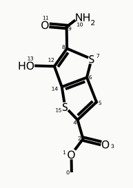 COC(=O)c1cc2sc(C(N)=O)c(O)c2s1